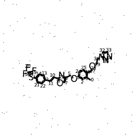 Cc1cc(OCc2coc(/C=C/c3ccc(SC(F)(F)F)cc3)n2)ccc1COCCn1ccnn1